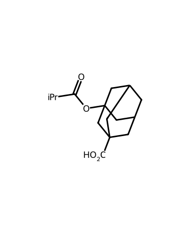 CC(C)C(=O)OC12CC3CC(C1)CC(C(=O)O)(C3)C2